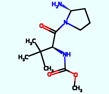 COC(=O)N[C@H](C(=O)N1CCC[C@H]1N)C(C)(C)C